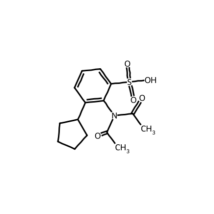 CC(=O)N(C(C)=O)c1c(C2CCCC2)cccc1S(=O)(=O)O